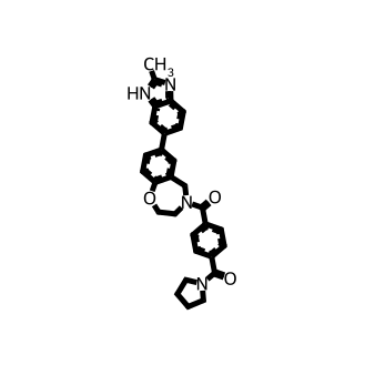 Cc1nc2ccc(-c3ccc4c(c3)CN(C(=O)c3ccc(C(=O)N5CCCC5)cc3)CCO4)cc2[nH]1